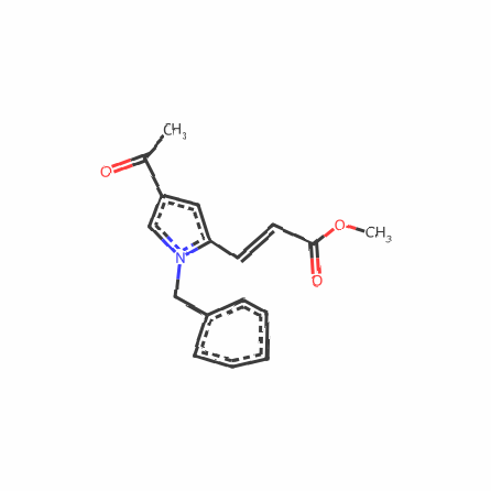 COC(=O)C=Cc1cc(C(C)=O)cn1Cc1ccccc1